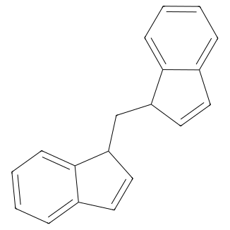 C1=CC(CC2C=Cc3ccccc32)c2ccccc21